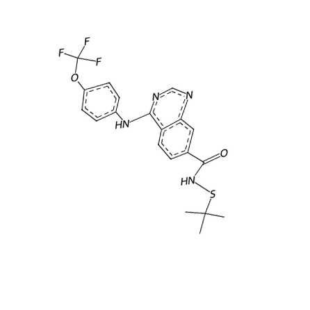 CC(C)(C)SNC(=O)c1ccc2c(Nc3ccc(OC(F)(F)F)cc3)ncnc2c1